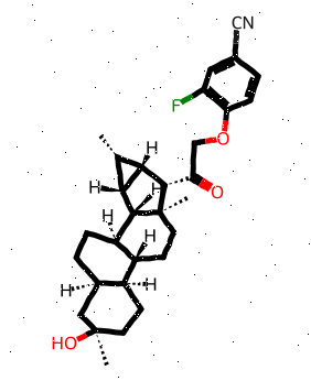 C[C@H]1[C@@H]2[C@H]1[C@H](C(=O)COc1ccc(C#N)cc1F)[C@@]1(C)CC[C@H]3[C@@H](CC[C@@H]4C[C@](C)(O)CC[C@@H]43)[C@H]21